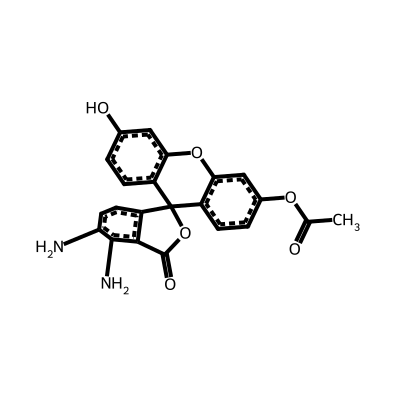 CC(=O)Oc1ccc2c(c1)Oc1cc(O)ccc1C21OC(=O)c2c1ccc(N)c2N